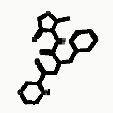 CC1OCC(=O)C1NC(=O)C(CC(=O)C1COCCN1)CC1CCCCC1